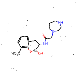 O=C(CN1CCCNCC1)N[C@H]1Cc2cccc(C(=O)O)c2OB1O